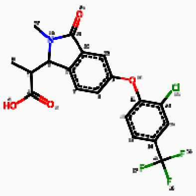 CC(C(=O)O)C1c2ccc(Oc3ccc(C(F)(F)F)cc3Cl)cc2C(=O)N1C